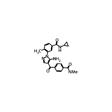 CNC(=O)c1ccc(C(=O)c2cnn(-c3cc(C(=O)NC4CC4)ccc3C)c2N)cc1